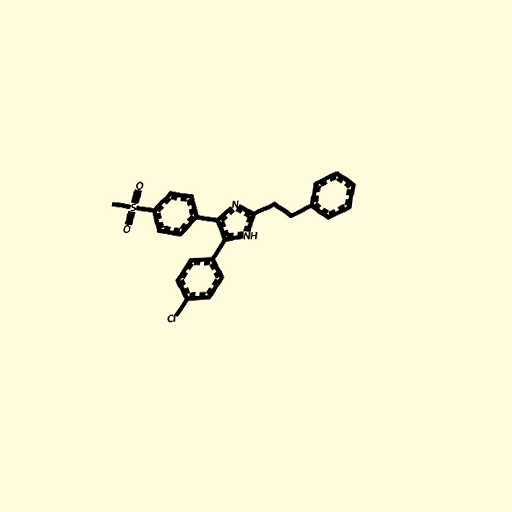 CS(=O)(=O)c1ccc(-c2nc(CCc3ccccc3)[nH]c2-c2ccc(Cl)cc2)cc1